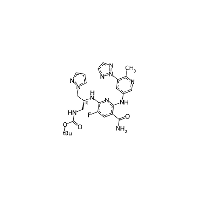 Cc1ncc(Nc2nc(N[C@@H](CNC(=O)OC(C)(C)C)Cn3cccn3)c(F)cc2C(N)=O)cc1-n1nccn1